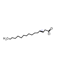 CCCCCCCCCCCC/C=C/CC(=O)Cl